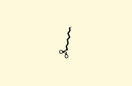 [CH2]CCCCCCC=S(=O)=O